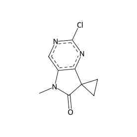 CN1C(=O)C2(CC2)c2nc(Cl)ncc21